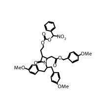 COc1ccc(COC(=O)CC2C(CCOC(=O)OC(c3ccccc3)[N+](=O)[O-])C(=O)N2C(Cc2ccc(OC)cc2)Cc2ccc(OC)cc2)cc1